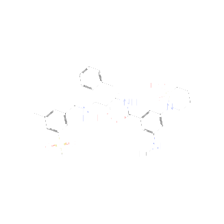 CCNc1cc(C(=O)N[C@@H](Cc2ccccc2)[C@H](O)CNCc2cc(C)cc(S(C)(=O)=O)c2)cc(N2CCCCS2(O)O)c1